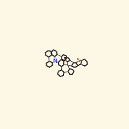 c1ccc(-c2ccccc2N(c2ccc3c(c2)-c2ccccc2-c2ccccc2C32c3ccccc3-c3c2ccc2c3sc3ccccc32)c2ccccc2-c2ccccc2)cc1